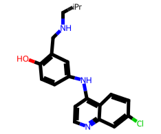 CC(C)CNCc1cc(Nc2ccnc3cc(Cl)ccc23)ccc1O